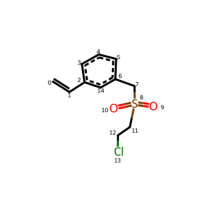 C=Cc1cccc(CS(=O)(=O)CCCl)c1